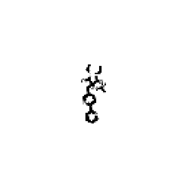 CCOC(=O)C(Cc1ccc(-c2ccccn2)nc1)(NC(C)=O)C(=O)OCC